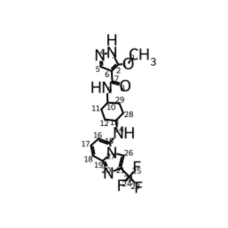 COc1[nH]ncc1C(=O)NC1CCC(Nc2cccc3nc(C(F)(F)F)cn23)CC1